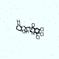 O=C(C[C@H]1NCCC[C@@H]1O)Cn1cnc2c(Cl)c(Cl)c(Cl)cc2c1=O